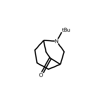 CC(C)(C)N1CC2CCCC1CC2=O